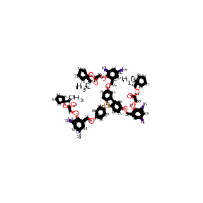 CCC1(OC(=O)COc2c(I)cc(I)cc2COc2ccc([SH]3c4ccc(OCc5cc(I)cc(I)c5OCC(=O)OCC5(C)CCCC5)cc4-c4cc(OCc5cc(I)cc(I)c5OCC(=O)OC5(CC)CCCC5)ccc43)cc2)CCCC1